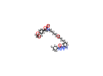 Cc1ccc(NC(=O)Nc2cccc(CCCCOCCCCCCN3C[C@@H](c4ccc5c(c4)COC(C)(C)O5)OC3=O)c2)cc1